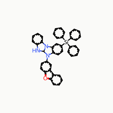 c1ccc([Si](c2ccccc2)(c2ccccc2)c2ccc3c(c2)N2c4ccccc4NC2N3c2ccc3oc4ccccc4c3c2)cc1